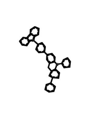 c1ccc(-c2ccc3c(c2)Cc2cc(-c4ccc(-n5c6ccccc6c6ccccc65)cc4)ccc2N3c2ccccc2)cc1